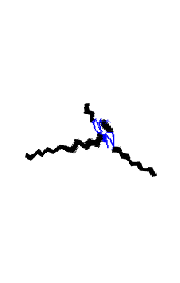 CCCCCCCCCCCCc1n(CCCCCCCCC)cc[n+]1CCCC